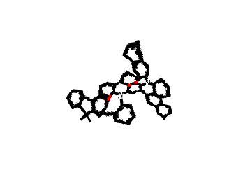 CC1(C)c2ccccc2-c2ccc(-c3ccccc3N(c3cc4c5cc6ccccc6c6cccc(c65)n5c6cc7ccccc7cc6c(c3)c45)c3ccccc3-c3ccccc3)cc21